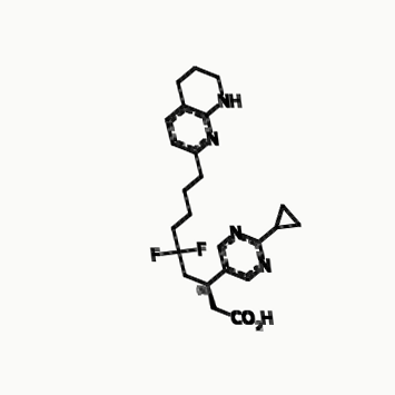 O=C(O)C[C@@H](CC(F)(F)CCCCc1ccc2c(n1)NCCC2)c1cnc(C2CC2)nc1